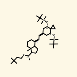 C[C@@H](OCCC(C)(C)C)C1CCC2/C(=C/C=C3C[C@@H](O[Si](C)(C)C(C)(C)C)C4(CC4)[C@H](O[Si](C)(C)C(C)(C)C)C3)CCCC21C